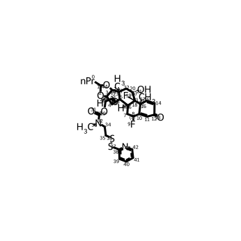 CCCC1O[C@@H]2CC3[C@@H]4C[C@H](F)C5=CC(=O)C=C[C@]5(C)[C@@]4(F)[C@@H](O)C[C@]3(C)[C@]2(C(=O)COC(=O)N(C)CCSSc2ccccn2)O1